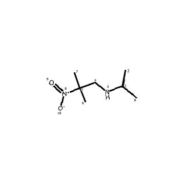 CC(C)NCC(C)(C)[N+](=O)[O-]